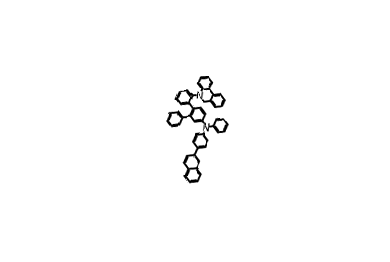 c1ccc(-c2cc(N(c3ccccc3)c3ccc(-c4ccc5ccccc5c4)cc3)ccc2-c2ccccc2N2Cc3ccccc3-c3ccccc32)cc1